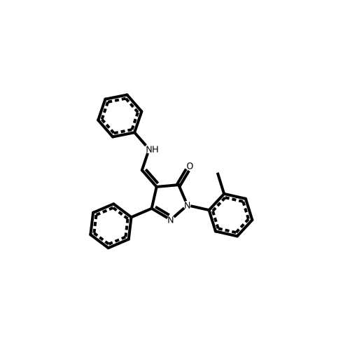 Cc1ccccc1N1N=C(c2ccccc2)/C(=C/Nc2ccccc2)C1=O